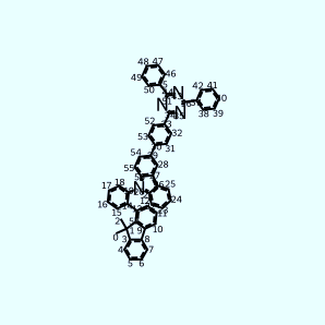 CC1(C)c2ccccc2-c2cccc(-c3ccccc3-n3c4ccccc4c4cc(-c5ccc(-c6nc(-c7ccccc7)nc(-c7ccccc7)n6)cc5)ccc43)c21